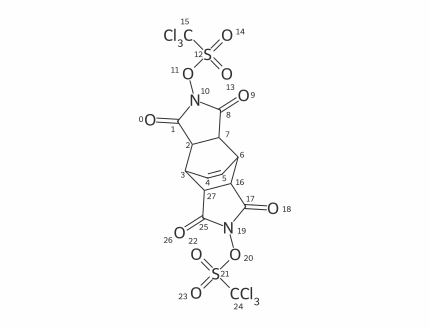 O=C1C2C3C=CC(C2C(=O)N1OS(=O)(=O)C(Cl)(Cl)Cl)C1C(=O)N(OS(=O)(=O)C(Cl)(Cl)Cl)C(=O)C31